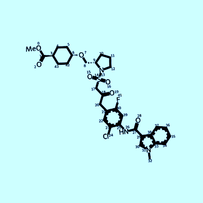 COC(=O)[C@H]1CC[C@H](OC[C@@H]2CCCN2S(=O)(=O)CC(=O)Cc2cc(Cl)c(NC(=O)c3cn(C)c4ccccc34)cc2F)CC1